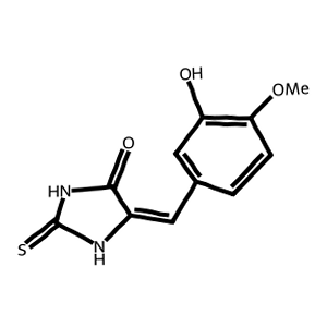 COc1ccc(C=C2NC(=S)NC2=O)cc1O